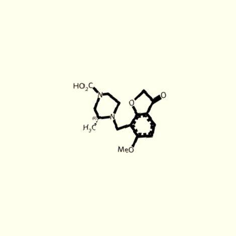 COc1ccc2c(c1CN1CCN(C(=O)O)C[C@H]1C)OCC2=O